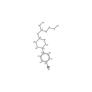 CCCCC(CC)CC1CCC(c2ccc(Br)cc2)CC1